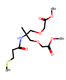 CCCSCCC(=O)NC(C)(COCC(=O)OC(C)(C)C)COCC(=O)OC(C)(C)C